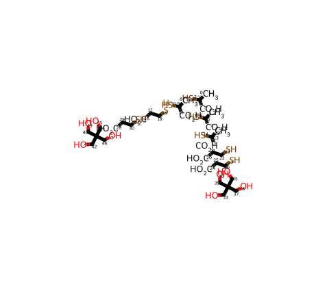 CC(S)C(=O)O.CC(S)C(=O)O.CC(S)C(=O)O.CC(S)C(=O)O.O=C(O)CCS.O=C(O)CCS.O=C(O)CCS.O=C(O)CCS.OCC(CO)(CO)CO.OCC(CO)(CO)CO